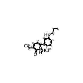 CCCNc1cccc(-c2ccc(CCl)c(=O)[nH]2)c1.Cl